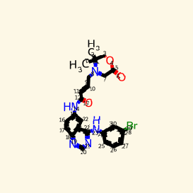 CC1(C)COC(=O)CN1C/C=C/C(=O)Nc1ccc2ncnc(Nc3cccc(Br)c3)c2c1